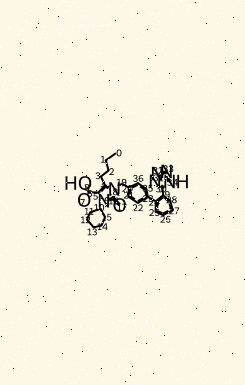 CCCCc1c(C(=O)O)n(C2CCCCC2)c(=O)n1Cc1ccc(-c2ccccc2-c2nnn[nH]2)cc1